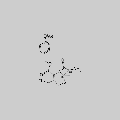 COc1ccc(COC(=O)C2=C(CCl)CS[C@@H]3[C@H](N)C(=O)N23)cc1